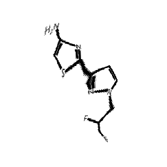 Nc1csc(-c2ccn(CC(F)F)n2)n1